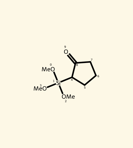 CO[Si](OC)(OC)C1CCCC1=O